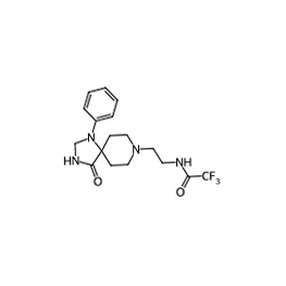 O=C(NCCN1CCC2(CC1)C(=O)NCN2c1ccccc1)C(F)(F)F